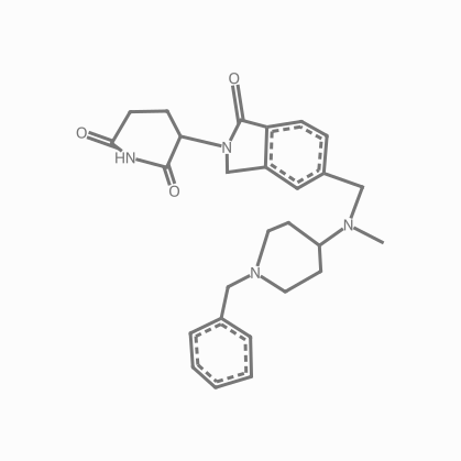 CN(Cc1ccc2c(c1)CN(C1CCC(=O)NC1=O)C2=O)C1CCN(Cc2ccccc2)CC1